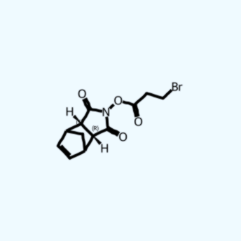 O=C(CCBr)ON1C(=O)[C@@H]2C3C=CC(C3)[C@@H]2C1=O